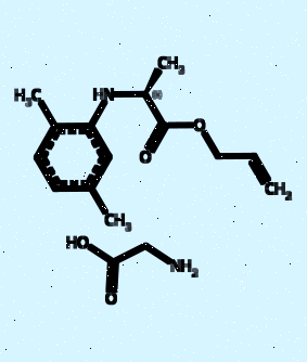 C=CCOC(=O)[C@H](C)Nc1cc(C)ccc1C.NCC(=O)O